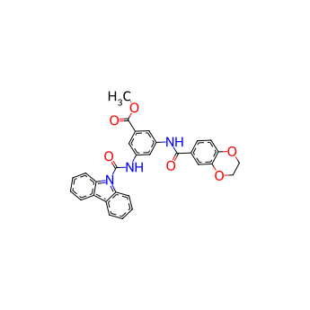 COC(=O)c1cc(NC(=O)c2ccc3c(c2)OCCO3)cc(NC(=O)n2c3ccccc3c3ccccc32)c1